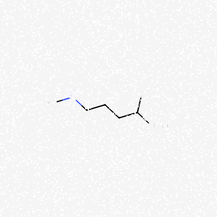 CCCCCC(CC)CCCNC(C)C